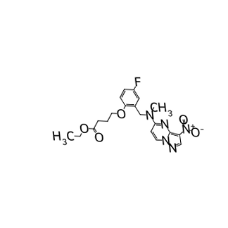 CCOC(=O)CCCOc1ccc(F)cc1CN(C)c1ccn2ncc([N+](=O)[O-])c2n1